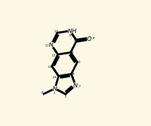 Cn1cnc2cc3c(=O)[nH]cnc3cc21